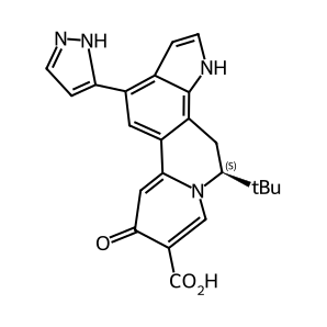 CC(C)(C)[C@@H]1Cc2c(cc(-c3ccn[nH]3)c3cc[nH]c23)-c2cc(=O)c(C(=O)O)cn21